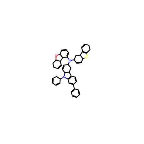 C1=CCC(N2c3cc(-c4ccccc4)ccc3C3CC(N(C4=CC=CC5OC6CCC=CC6C45)C4C=CC5SC6=C(C=CCC6)C5C4)C=CC32)C=C1